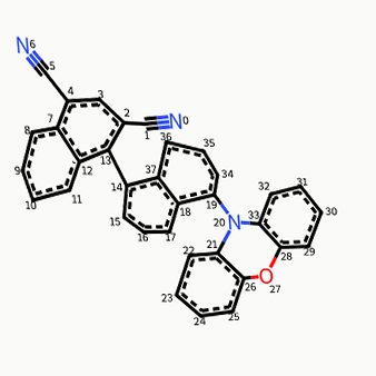 N#Cc1cc(C#N)c2ccccc2c1-c1cccc2c(N3c4ccccc4Oc4ccccc43)cccc12